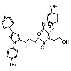 CC(C)(C)c1ccc(-n2nc(-c3ccncc3)cc2NCCCC(=O)N(CCO)[C@@H](Cc2ccc(O)cc2)C(N)=O)cc1